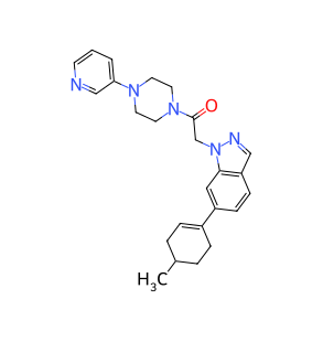 CC1CC=C(c2ccc3cnn(CC(=O)N4CCN(c5cccnc5)CC4)c3c2)CC1